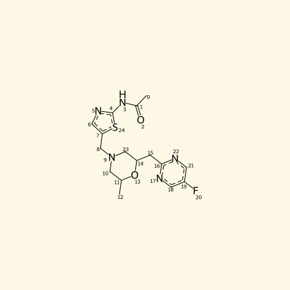 CC(=O)Nc1ncc(CN2CC(C)OC(Cc3ncc(F)cn3)C2)s1